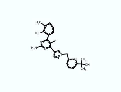 Cc1cccc(-c2nc(N)nc(-c3cn(Cc4cccc(C(C)(C)O)n4)nn3)c2F)c1C